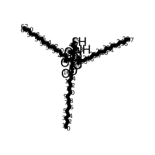 CCCCCCCCCCCCCCCC(=O)OCC(OC(=O)CCCCCCCCCCCCCCC)C(OC(=O)[C@@H](N)CS)C(=O)CCCCCCCCCCCCCCC